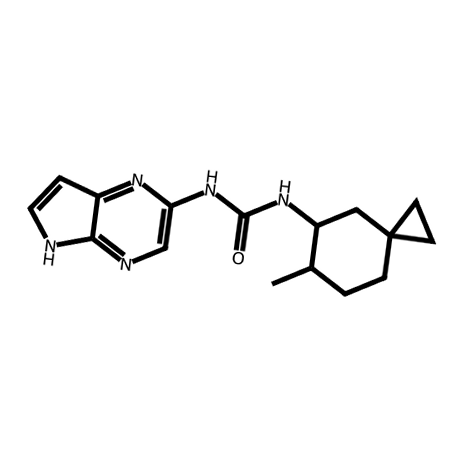 CC1CCC2(CC2)CC1NC(=O)Nc1cnc2[nH]ccc2n1